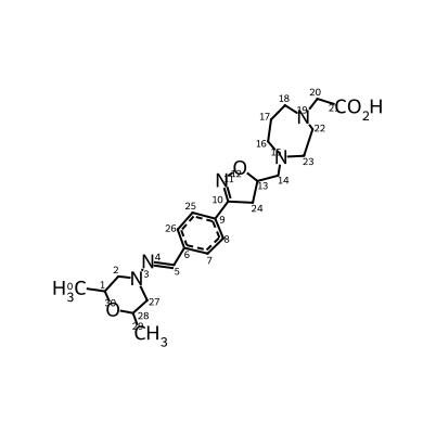 CC1CN(N=Cc2ccc(C3=NOC(CN4CCCN(CC(=O)O)CC4)C3)cc2)CC(C)O1